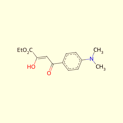 CCOC(=O)C(O)=CC(=O)c1ccc(N(C)C)cc1